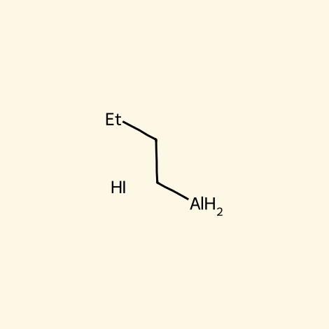 CCC[CH2][AlH2].I